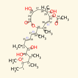 CCC(OC)C(C)C(C)C(O)C(O)C(C)/C=C/C=C(\C)C1OC(=O)CC(O)CCC(C)(O)C(OC(C)=O)/C=C/C1C